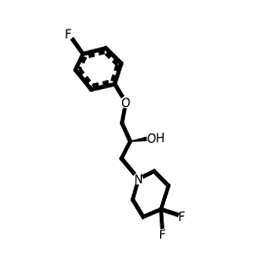 O[C@H](COc1ccc(F)cc1)CN1CCC(F)(F)CC1